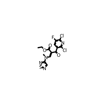 CCOC(=O)C(=CN(C)c1cnsn1)C(=O)c1cc(F)c(Cl)nc1Cl